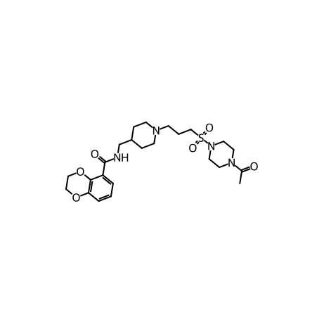 CC(=O)N1CCN(S(=O)(=O)CCCN2CCC(CNC(=O)c3cccc4c3OCCO4)CC2)CC1